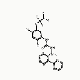 C[C@@H](NC(=O)Nc1cc(OC(F)(F)C(F)F)c(Cl)cc1Cl)c1nccnc1-c1ncccn1